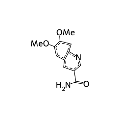 COc1cc2cc(C(N)=O)cnc2cc1OC